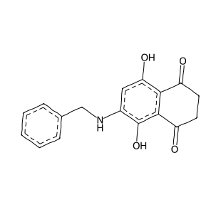 O=C1CCC(=O)c2c(O)c(NCc3ccccc3)cc(O)c21